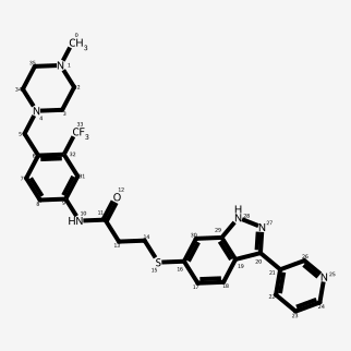 CN1CCN(Cc2ccc(NC(=O)CCSc3ccc4c(-c5cccnc5)n[nH]c4c3)cc2C(F)(F)F)CC1